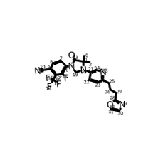 CC1(C)C(=O)N(c2ccc(C#N)c(C(F)(F)F)c2F)CN1c1ccc(CCCc2ncco2)nc1